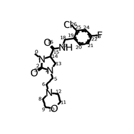 CN1C(=O)N(CCN2CCOCC2)CC1C(=O)NCc1ccc(F)cc1Cl